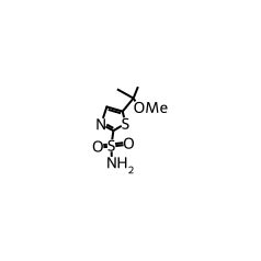 COC(C)(C)c1cnc(S(N)(=O)=O)s1